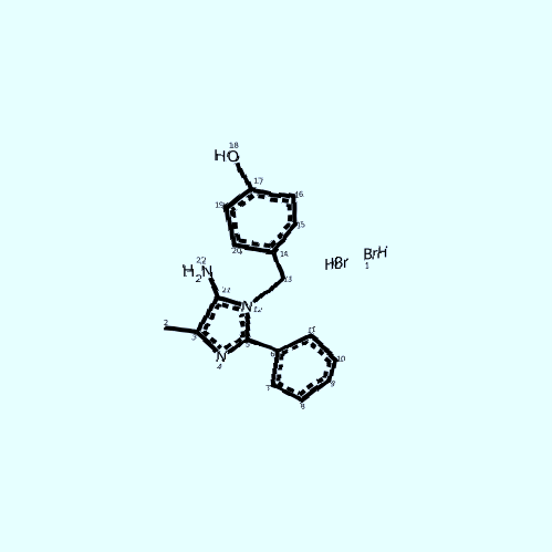 Br.Br.Cc1nc(-c2ccccc2)n(Cc2ccc(O)cc2)c1N